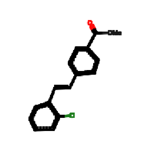 COC(=O)c1ccc(/C=C/c2ccccc2Cl)cc1